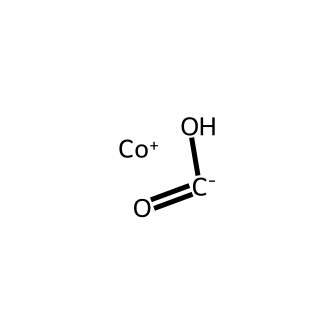 O=[C-]O.[Co+]